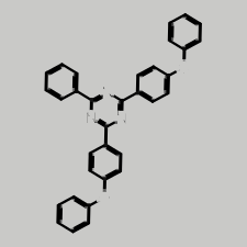 c1ccc(Oc2ccc(-c3nc(-c4ccccc4)nc(-c4ccc(Oc5ccccc5)cc4)n3)cc2)cc1